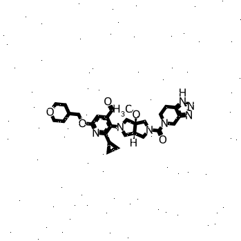 CO[C@@]12CN(C(=O)N3CCc4[nH]nnc4C3)C[C@H]1CN(c1c(C=O)cc(OCC3CCOCC3)nc1C1CC1)C2